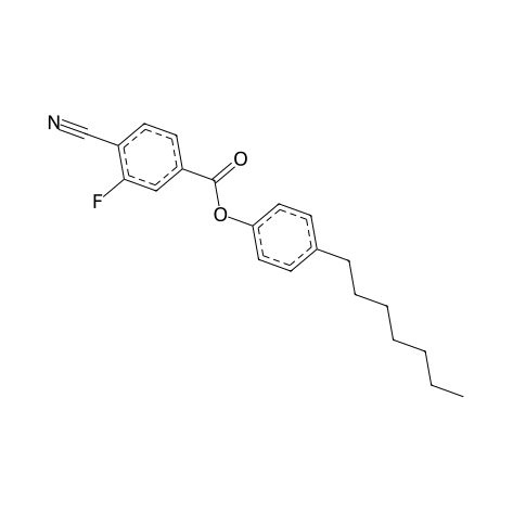 CCCCCCCc1ccc(OC(=O)c2ccc(C#N)c(F)c2)cc1